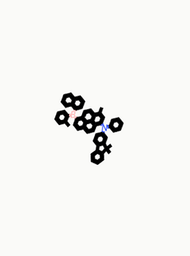 Cc1ccccc1B(c1cccc2ccccc12)c1ccc2ccc3c(N(c4ccccc4)c4ccc5c(c4)C(C)(C)c4ccccc4-5)cc(C)c4ccc1c2c43